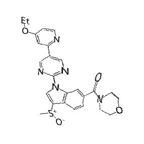 CCOc1ccnc(-c2cnc(-n3cc([S+](C)[O-])c4ccc(C(=O)N5CCOCC5)cc43)nc2)c1